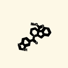 COC(=O)C12CCCN(C(=O)c3ccc4nc[nH]c4c3)C1Cc1ccccc12